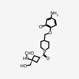 Nc1ccc(OCC2CCN(C(=O)[C@H]3C[C@@](CO)(NC=O)C3)CC2)c(Cl)c1